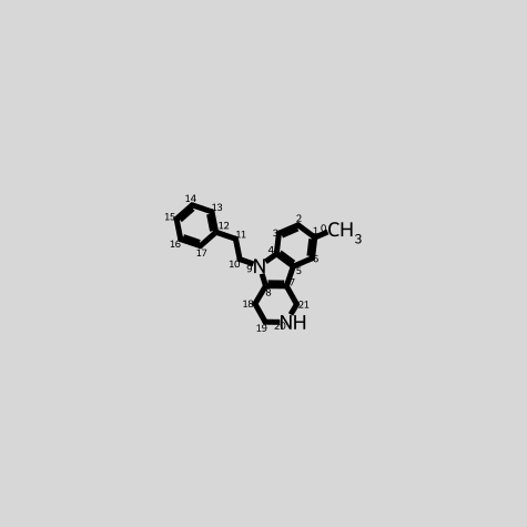 Cc1ccc2c(c1)c1c(n2CCc2ccccc2)CCNC1